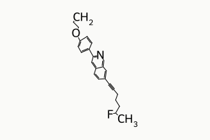 C=CCOc1ccc(-c2cc3ccc(C#CCCCC(C)F)cc3cn2)cc1